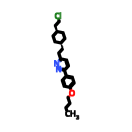 CCCCOc1ccc(-c2ccc(CC[C@H]3CC[C@H](CCCl)CC3)nn2)cc1